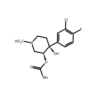 CC(C)(C)C(=O)O[C@H]1CN(C(=O)O)CC[C@]1(O)c1ccc(F)c(Cl)c1